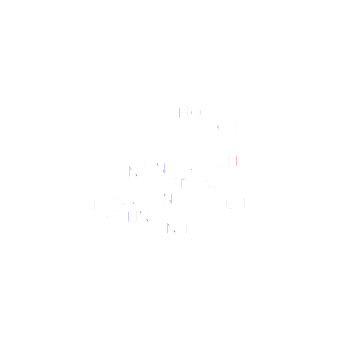 C=C1NC(N)=Nc2c1ncn2[C@@H]1OC([C@@H](C)O)C(O)[C@]1(Cl)C#CC